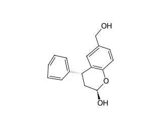 OCc1ccc2c(c1)[C@@H](c1ccccc1)C[C@H](O)O2